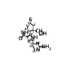 Cc1cc(F)ccc1-c1[nH]c(-c2ccnc(N)n2)cc1C(N)=O.Cl